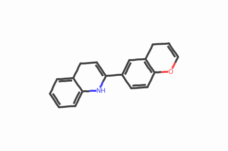 C1=COc2ccc(C3=CCc4ccccc4N3)cc2C1